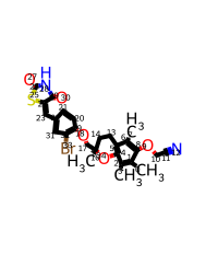 Cc1c(C)c2c(c(C)c1OCC#N)CCC(C)(COc1ccc(C=C3SC(=O)NC3=O)cc1Br)O2